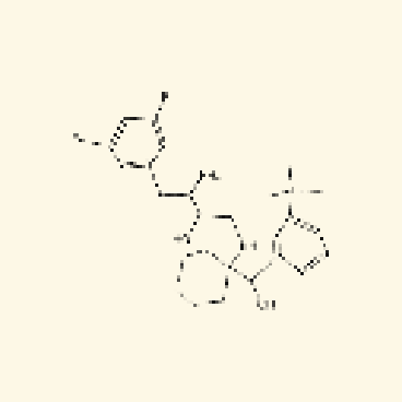 CC(C)(C)c1cccc(C(O)C2(NCC(O)C(N)Cc3cc(F)cc(F)c3)CCCCC2)c1